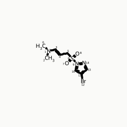 CN(C)C=CCS(=O)(=O)n1cc(Br)cn1